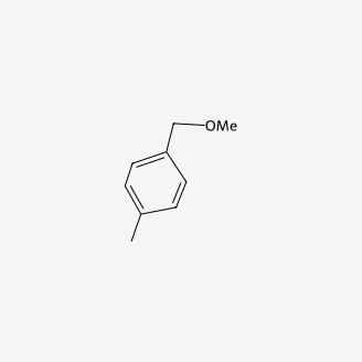 [CH]OCc1ccc(C)cc1